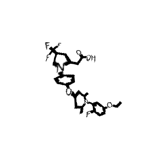 CCOc1ccc(F)c(N2C(C)CC(Oc3ccc(N4CC(C(F)(F)F)CC4CC(=O)O)cc3)CC2C)c1